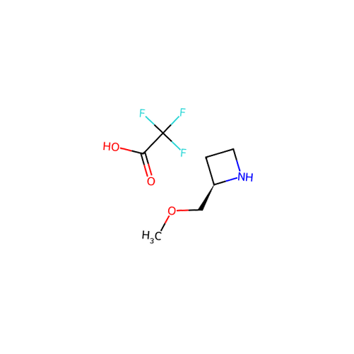 COC[C@H]1CCN1.O=C(O)C(F)(F)F